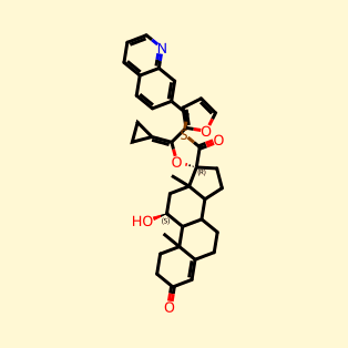 CC12CCC(=O)C=C1CCC1C2[C@@H](O)CC2(C)C1CC[C@]2(OC(=C1CC1)c1ccco1)C(=O)SCc1ccc2cccnc2c1